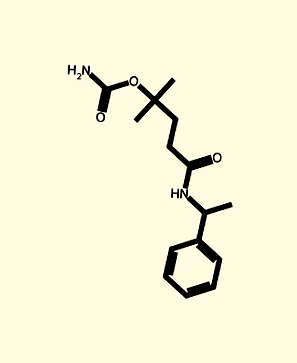 CC(NC(=O)CCC(C)(C)OC(N)=O)c1ccccc1